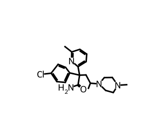 Cc1cccc(C(CC(C)N2CCN(C)CC2)(C(N)=O)c2ccc(Cl)cc2)n1